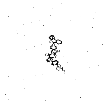 COc1ccc(-n2ccc3c(=O)n(CC4(O)CCN(C(=O)C5CCCCC5n5cccc5)CC4)cnc32)cc1